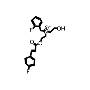 O=C(/C=C/c1ccc(F)cc1)OCC[N@@+]([O-])(CCO)Cc1ccccc1F